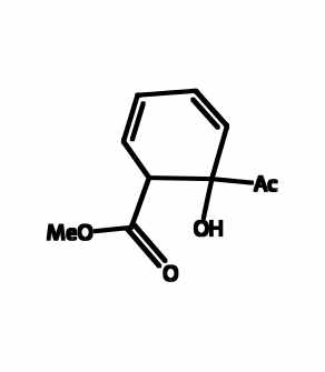 COC(=O)C1C=CC=CC1(O)C(C)=O